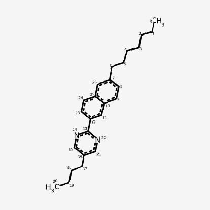 CCCCCCCc1ccc2cc(-c3ncc(CCCC)cn3)ccc2c1